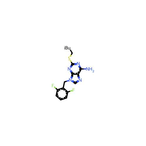 CCC(C)CSc1nc(N)c2ncn(Cc3c(F)cccc3F)c2n1